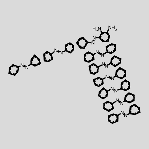 Nc1cccc(N=Nc2ccccc2)c1N.c1ccc(N=Nc2ccccc2)cc1.c1ccc(N=Nc2ccccc2)cc1.c1ccc(N=Nc2ccccc2)cc1.c1ccc(N=Nc2ccccc2)cc1.c1ccc(N=Nc2ccccc2)cc1.c1ccc(N=Nc2ccccc2)cc1.c1ccc(N=Nc2ccccc2)cc1.c1ccc(N=Nc2ccccc2)cc1